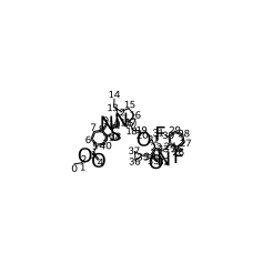 CCOC(=O)c1ccc2nc(N3C(CC)CC[C@H]3CCOCc3c(-c4c(F)cccc4F)noc3C3CC3)sc2c1